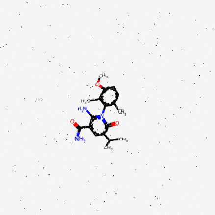 COc1ccc(C)c(-n2c(N)c(C(N)=O)cc(C(C)C)c2=O)c1C